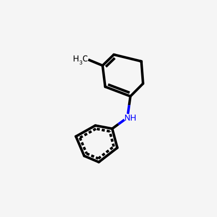 CC1=CCCC(Nc2ccccc2)=C1